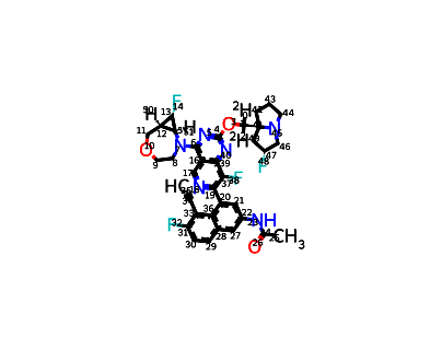 [2H]C([2H])(Oc1nc(N2CCOC[C@H]3[C@H](F)[C@H]32)c2cnc(-c3cc(NC(C)=O)cc4ccc(F)c(C#C)c34)c(F)c2n1)[C@@]12CCCN1C[C@H](F)C2